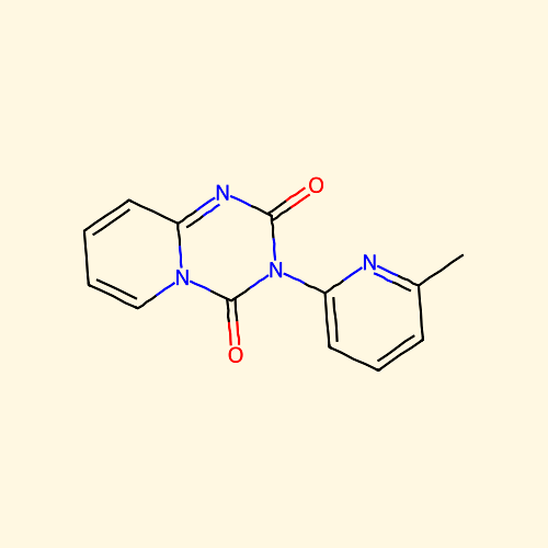 Cc1cccc(-n2c(=O)nc3ccccn3c2=O)n1